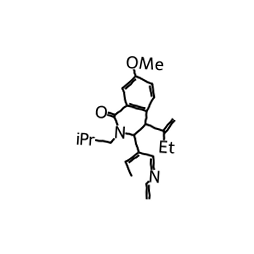 C=C/N=C\C(=C/C)C1C(C(=C)CC)c2ccc(OC)cc2C(=O)N1CC(C)C